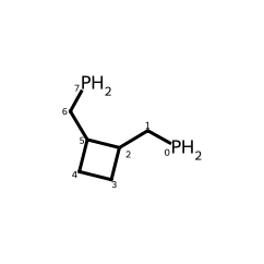 PCC1CCC1CP